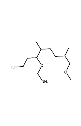 COCC(C)CCC(C)C(CCO)OCN